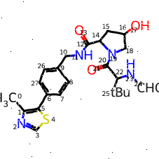 Cc1ncsc1-c1ccc(CNC(=O)C2CC(O)CN2C(=O)C(NC=O)C(C)(C)C)cc1